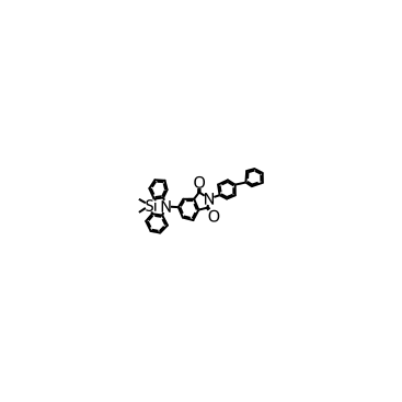 C[Si]1(C)c2ccccc2N(c2ccc3c(c2)C(=O)N(c2ccc(-c4ccccc4)cc2)C3=O)c2ccccc21